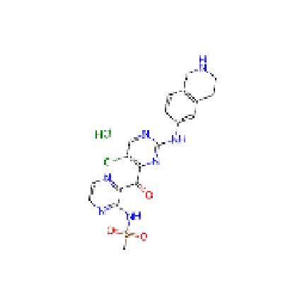 CS(=O)(=O)Nc1nccnc1C(=O)c1nc(Nc2ccc3c(c2)CCNC3)ncc1Cl.Cl